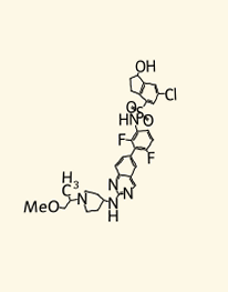 COCC(C)N1CCC(Nc2ncc3cc(-c4c(F)ccc(NS(=O)(=O)c5cc(Cl)cc6c5CC[C@H]6O)c4F)ccc3n2)CC1